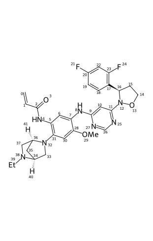 C=CC(=O)Nc1cc(Nc2cc(N3OCC[C@@H]3c3ccc(F)cc3F)ncn2)c(OC)cc1N1C[C@@H]2C[C@H]1CN2CC